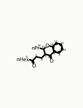 CCCCCCC(=O)CCC1C(=O)c2ccccc2OC1CCC